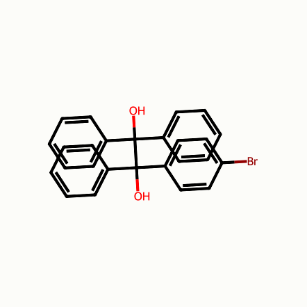 OC(c1ccccc1)(c1ccccc1)C(O)(c1ccccc1)c1ccc(Br)cc1